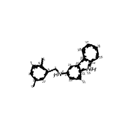 Cc1ccc(C)c(CNc2ccc3[nH]c4ccccc4c3c2)c1